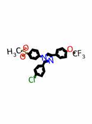 CS(=O)(=O)c1ccc(-n2cc(-c3ccc(OC(F)(F)F)cc3)nc2-c2ccc(Cl)cc2)cc1